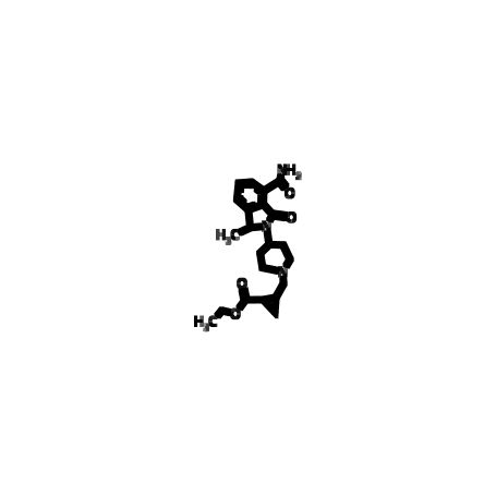 CCOC(=O)C1CC1CN1CCC(N2C(=O)c3c(C(N)=O)cccc3C2C)CC1